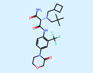 CC(C)(C)CN(CC1CCC1)[C@@H](C(N)=O)C(=O)Nc1ccc(N2CCOCC2=O)cc1C(F)(F)F